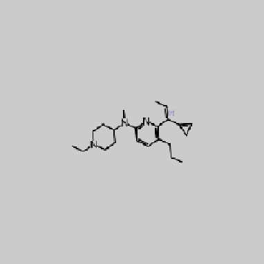 C/C=C(/C1=CC1)c1nc(N(C)C2CCN(CC)CC2)ccc1CCC